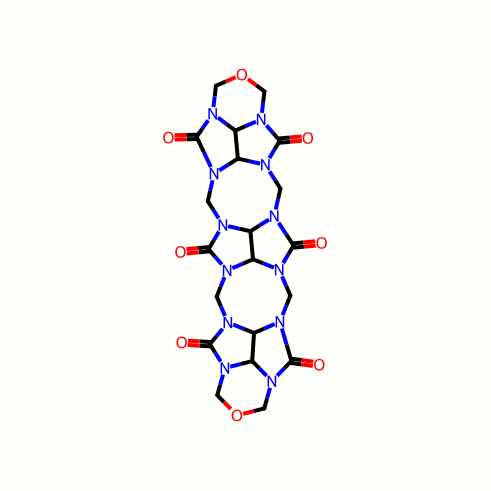 O=C1N2COCN3C(=O)N4CN5C(=O)N6CN7C(=O)N8COCN9C(=O)N(CN%10C(=O)N(CN1C4C23)C5C%106)C7C98